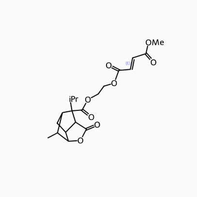 COC(=O)/C=C/C(=O)OCCOC(=O)C1(C(C)C)C2CC3C(OC(=O)C31)C2C